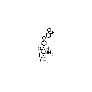 Cc1ccc(C(=O)Nc2ccc(Oc3ccc(F)c(Cl)c3)cc2)c(N)n1